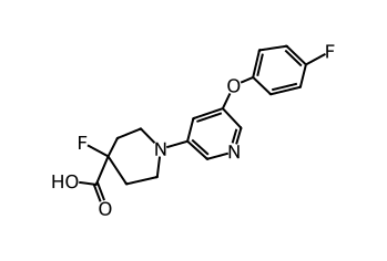 O=C(O)C1(F)CCN(c2cncc(Oc3ccc(F)cc3)c2)CC1